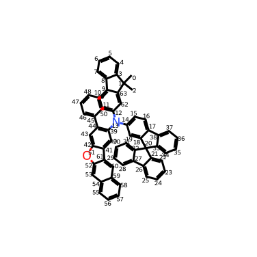 CC1(C)c2ccccc2-c2ccc(N(c3ccc4c(c3)C3(c5ccccc5-c5ccccc53)c3ccccc3-4)c3cc4c(cc3-c3ccccc3)oc3cc5ccccc5cc34)cc21